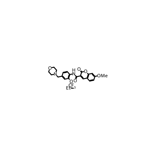 CCC.COc1ccc2cc(C(=O)Nc3ccc(CN4CCOCC4)cc3OC(F)(F)F)c(=O)oc2c1